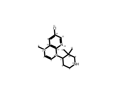 CN1C=CN(C2CCNCC2(C)C)c2ncc(Cl)cc21